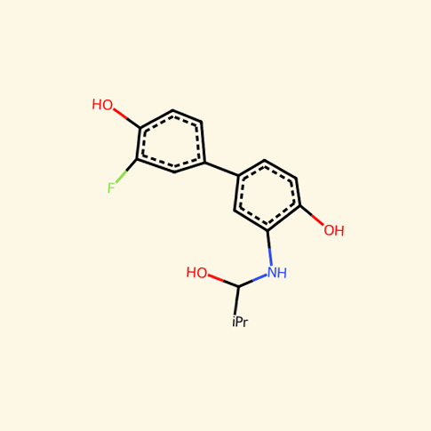 CC(C)C(O)Nc1cc(-c2ccc(O)c(F)c2)ccc1O